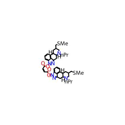 CCCN1CC(CSC)C[C@H]2c3cccc4c3c(nn4OC(=O)/C=C\C(=O)On3nc4c5c(cccc53)[C@@H]3CC(CSC)CN(CCC)[C@H]3C4)C[C@@H]21